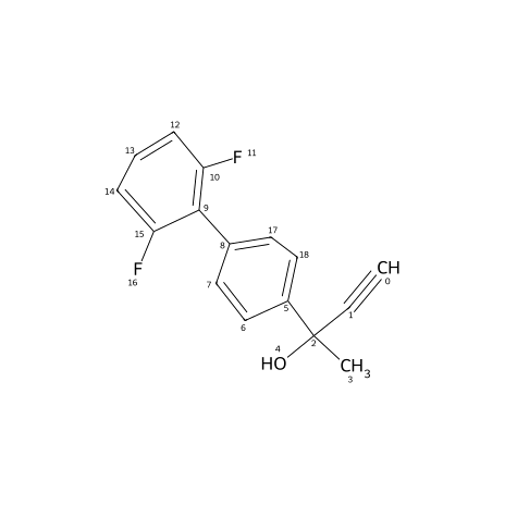 C#CC(C)(O)c1ccc(-c2c(F)cccc2F)cc1